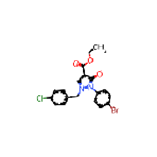 CCOC(=O)c1cn(Cc2ccc(Cl)cc2)n(-c2ccc(Br)cc2)c1=O